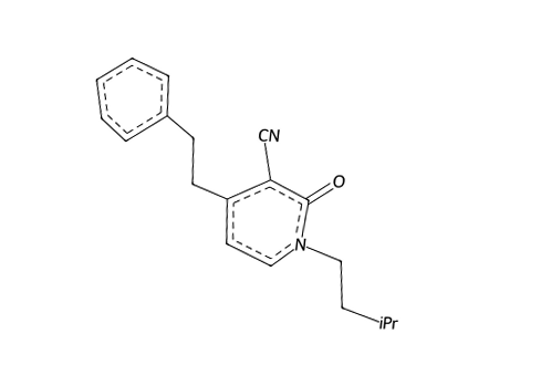 CC(C)CCn1ccc(CCc2ccccc2)c(C#N)c1=O